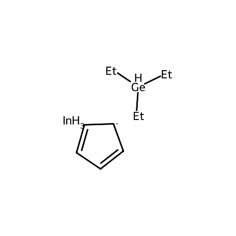 C[CH2][GeH]([CH2]C)[CH2]C.[CH]1C=CC=C1.[InH3]